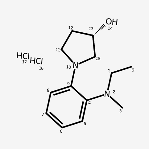 CCN(C)c1ccccc1N1CC[C@H](O)C1.Cl.Cl